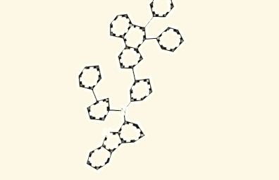 c1ccc(-c2cccc(N(c3cccc(-c4ccc5c(c4)c(-c4ccccc4)c(-c4ccccc4)c4ccccc45)c3)c3cccc4c3oc3ccccc34)c2)cc1